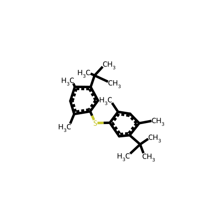 Cc1cc(C)c(C(C)(C)C)cc1Sc1cc(C(C)(C)C)c(C)cc1C